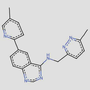 Cc1ccc(-c2ccc3ncnc(NCc4ccc(C)nn4)c3c2)nc1